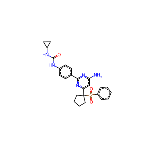 Nc1cc(C2(S(=O)(=O)c3ccccc3)CCCC2)nc(-c2ccc(NC(=O)NC3CC3)cc2)n1